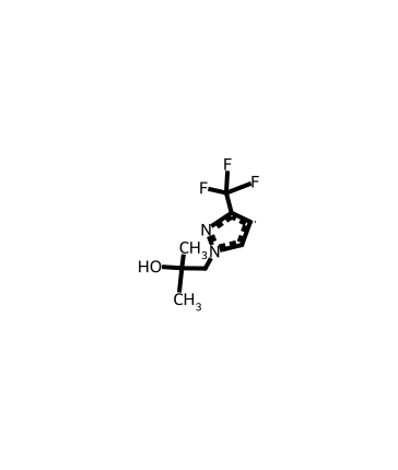 CC(C)(O)Cn1c[c]c(C(F)(F)F)n1